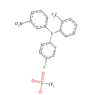 O=S(=O)([O-])C(F)(F)F.O=[N+]([O-])c1cccc([S+](c2ccc(F)cc2)c2ccccc2C(F)(F)F)c1